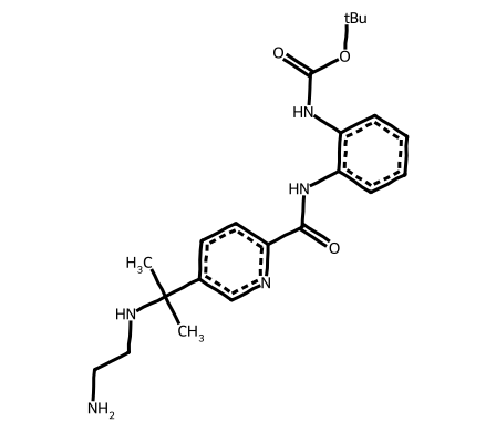 CC(C)(C)OC(=O)Nc1ccccc1NC(=O)c1ccc(C(C)(C)NCCN)cn1